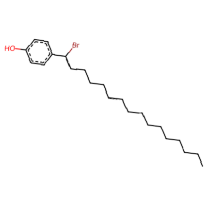 CCCCCCCCCCCCCCCC(Br)c1ccc(O)cc1